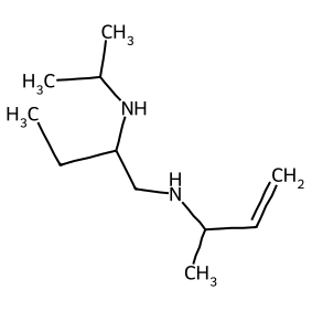 C=CC(C)NCC(CC)NC(C)C